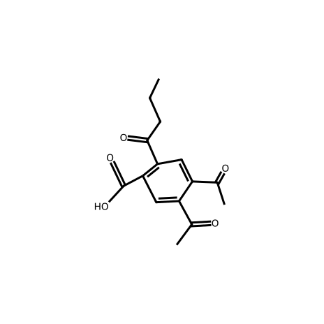 CCCC(=O)c1cc(C(C)=O)c(C(C)=O)cc1C(=O)O